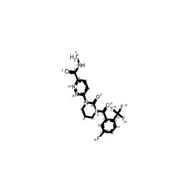 CNC(=O)c1ccc(N2CCCN(C(=O)c3cc(F)ccc3C(F)(F)F)C2=O)nn1